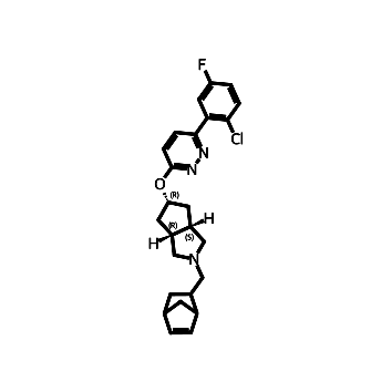 Fc1ccc(Cl)c(-c2ccc(O[C@@H]3C[C@@H]4CN(CC5CC6C=CC5C6)C[C@@H]4C3)nn2)c1